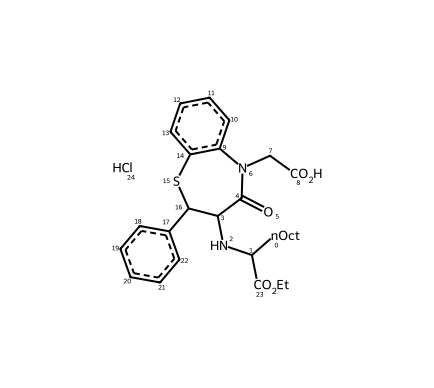 CCCCCCCCC(NC1C(=O)N(CC(=O)O)c2ccccc2SC1c1ccccc1)C(=O)OCC.Cl